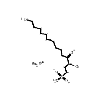 CCCCCCCCCCCC(=O)N(C)CCS(=O)(=O)O.[NaH].[NaH]